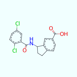 O=C(O)c1ccc2c(c1)C(NC(=O)c1cc(Cl)ccc1Cl)CC2